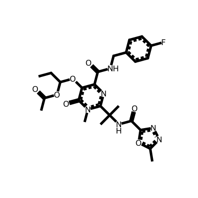 CCC(OC(C)=O)Oc1c(C(=O)NCc2ccc(F)cc2)nc(C(C)(C)NC(=O)c2nnc(C)o2)n(C)c1=O